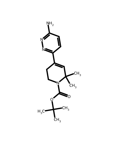 CC(C)(C)OC(=O)N1CCC(c2ccc(N)nn2)=CC1(C)C